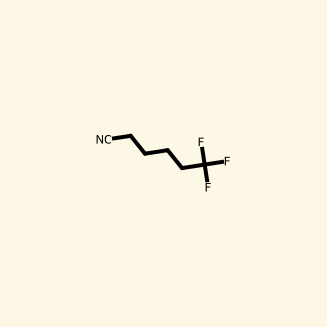 N#CCCCCC(F)(F)F